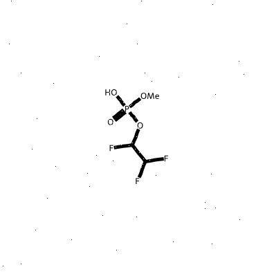 COP(=O)(O)OC(F)C(F)F